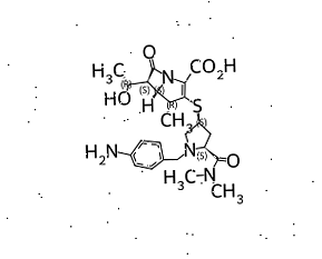 C[C@@H](O)[C@H]1C(=O)N2C(C(=O)O)=C(S[C@H]3C[C@@H](C(=O)N(C)C)N(Cc4ccc(N)cc4)C3)[C@H](C)[C@H]12